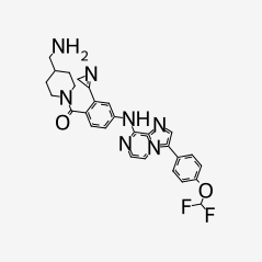 NCC1CCN(C(=O)c2ccc(Nc3nccn4c(-c5ccc(OC(F)F)cc5)cnc34)cc2C2=NC2)CC1